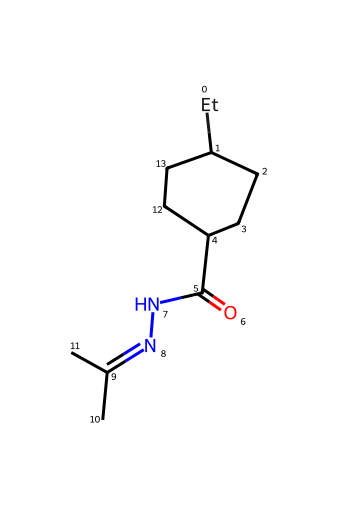 CCC1CCC(C(=O)NN=C(C)C)CC1